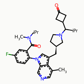 Cc1cncc2c1c(C[C@H]1CCN(C(C(C)C)C3CC(=O)C3)C1)cn2-c1ccc(F)cc1C(=O)N(C)C(C)C